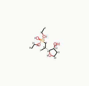 CCOP(=O)(CC(C)[C@H]1OCC[C@@H]1O)OCC